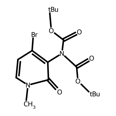 Cn1ccc(Br)c(N(C(=O)OC(C)(C)C)C(=O)OC(C)(C)C)c1=O